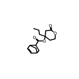 CCCC1(OC(=O)C2CC3C=CC2C3)CCOC(=O)C1